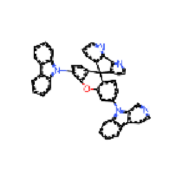 c1cnc2c(c1)C1(c3ccc(-n4c5ccccc5c5ccccc54)cc3Oc3cc(-n4c5ccccc5c5ccncc54)ccc31)c1cccnc1-2